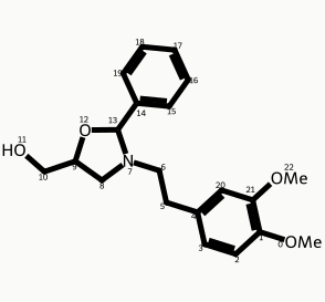 COc1ccc(CCN2CC(CO)OC2c2ccccc2)cc1OC